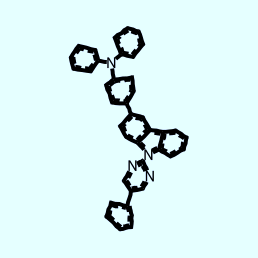 c1ccc(-c2cnc(-n3c4ccccc4c4cc(-c5ccc(N(c6ccccc6)c6ccccc6)cc5)ccc43)nc2)cc1